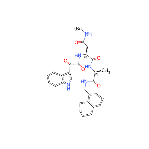 C[C@H](NC(=O)[C@H](CC(=O)NC(C)(C)C)NC(=O)C(=O)c1c[nH]c2ccccc12)C(=O)NCc1cccc2ccccc12